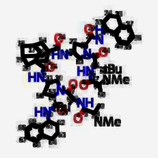 CN[C@@H](C)C(=O)N[C@H](C(=O)N1C[C@@H](NC(=O)C23CC4CC(C2)CC(C(=O)N[C@H]2C[C@@H](C(=O)N[C@@H]5CCCc6ccccc65)N(C(=O)[C@@H](NC(=O)[C@H](C)NC)C(C)(C)C)C2)(C4)C3)C[C@H]1C(=O)NC1CCCc2ccccc21)C(C)(C)C